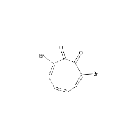 O=c1c(Br)ccccc(Br)c1=O